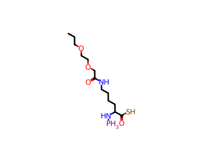 CCCOCCOCC(=O)NCCCCC(NP)C(=O)S